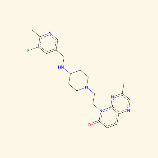 Cc1cnc2ccc(=O)n(CCN3CCC(NCc4cnc(C)c(F)c4)CC3)c2n1